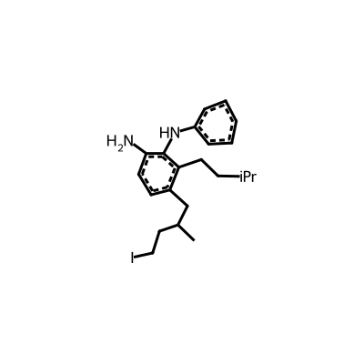 CC(C)CCc1c(CC(C)CCI)ccc(N)c1Nc1ccccc1